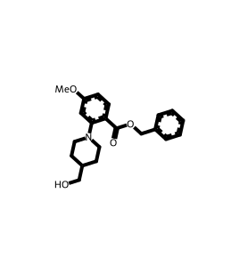 COc1ccc(C(=O)OCc2ccccc2)c(N2CCC(CO)CC2)c1